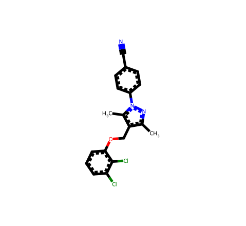 Cc1nn(-c2ccc(C#N)cc2)c(C)c1COc1cccc(Cl)c1Cl